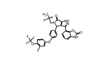 CC(F)(F)CN1C(=O)c2[nH]nc(-c3cccc4[nH]c(=O)oc34)c2C1c1ccc(Oc2ccc(OC(F)(F)F)c(F)c2)cc1